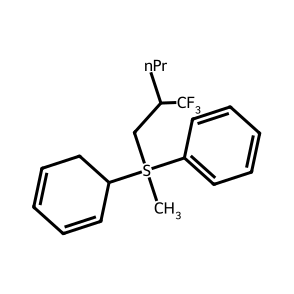 CCCC(CS(C)(c1ccccc1)C1C=CC=CC1)C(F)(F)F